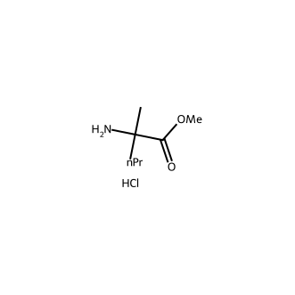 CCCC(C)(N)C(=O)OC.Cl